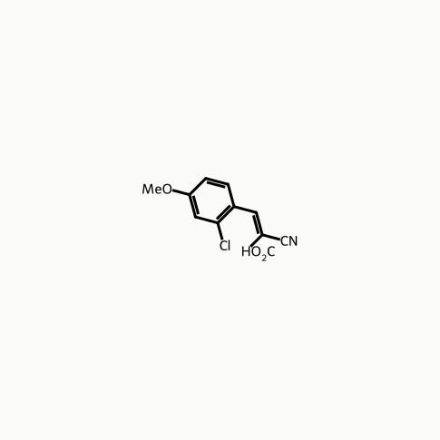 COc1ccc(C=C(C#N)C(=O)O)c(Cl)c1